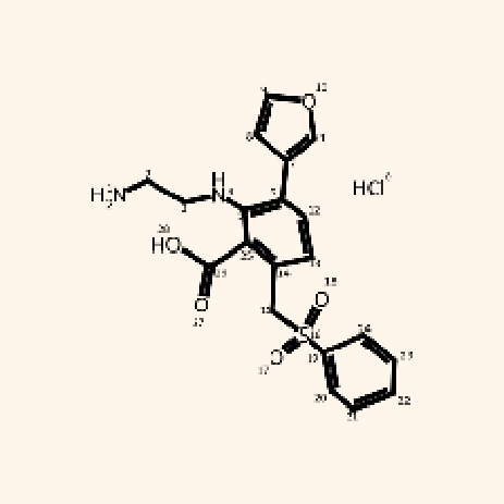 Cl.NCCNc1c(-c2ccoc2)ccc(CS(=O)(=O)c2ccccc2)c1C(=O)O